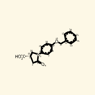 O=C(O)[C@H]1CC(=O)N(c2ccc(OCc3ccccc3)cc2)C1